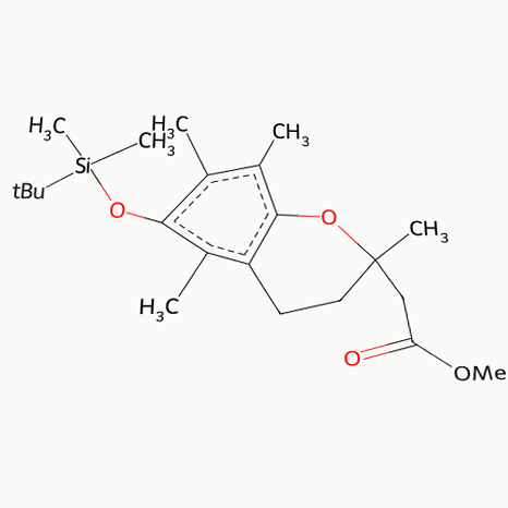 COC(=O)CC1(C)CCc2c(C)c(O[Si](C)(C)C(C)(C)C)c(C)c(C)c2O1